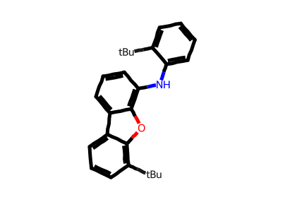 CC(C)(C)c1ccccc1Nc1cccc2c1oc1c(C(C)(C)C)cccc12